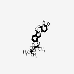 C[C@H](Oc1cccc2c1CN([C@@H]1CCC(=O)NC1=O)C2=O)C(=O)OC(C)(C)C